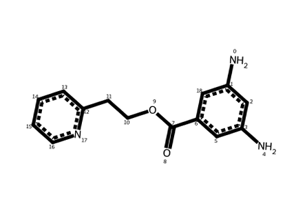 Nc1cc(N)cc(C(=O)OCCc2ccccn2)c1